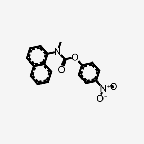 CN(C(=O)Oc1ccc([N+](=O)[O-])cc1)c1cccc2ccccc12